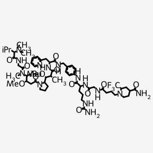 CCC(C)C(C(CC(=O)N1CCCC1C(OC)C(C)C(=O)NC(Cc1ccccn1)C(=O)NCc1ccc(NC(=O)C(CCCNC(N)=O)NC(=O)CNC(=O)CCCN2CCC(C(N)=O)CC2C(F)(F)F)cc1)OC)N(C)C(=O)CNC(=O)C(C(C)C)N(C)C